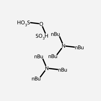 CCCCN(CCCC)CCCC.CCCCN(CCCC)CCCC.O=S(=O)(O)OS(=O)(=O)O